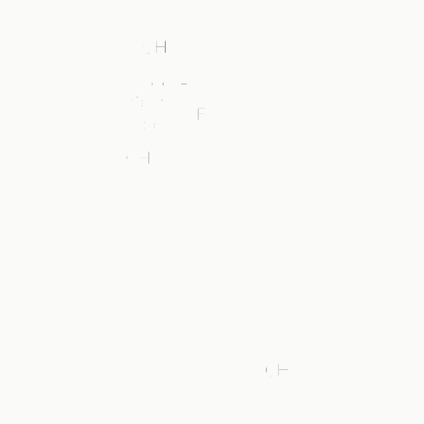 CCCCCCCCCCCCCCC(F)(F)P(=O)(OCC)OCC